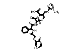 Cn1nnnc1SCC1=C(C(=O)O)N2C(=O)C(NC(=O)C(NC(=O)COc3c[nH]cnc3=O)c3ccccc3)[C@@H]2SC1